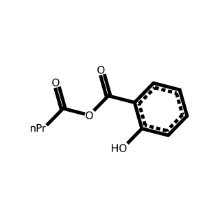 CCCC(=O)OC(=O)c1ccccc1O